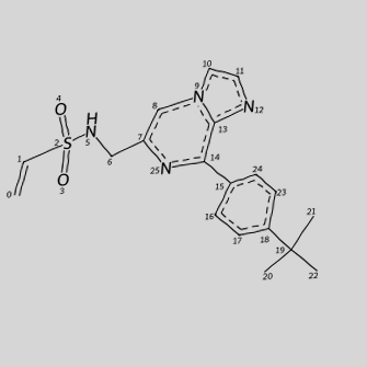 C=CS(=O)(=O)NCc1cn2ccnc2c(-c2ccc(C(C)(C)C)cc2)n1